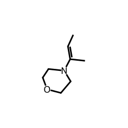 CC=C(C)N1CCOCC1